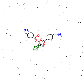 CC(OC(=O)C1CCC(CN)CC1)OC(=O)C1CCC(CN)CC1.Cl.Cl